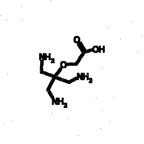 NCC(CN)(CN)OCC(=O)O